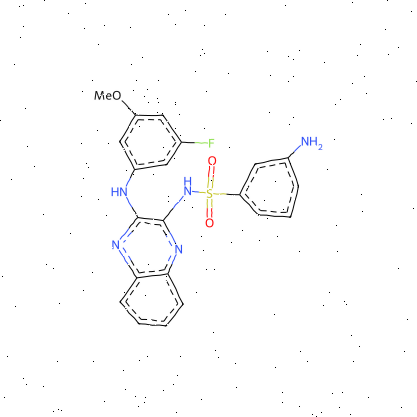 COc1cc(F)cc(Nc2nc3ccccc3nc2NS(=O)(=O)c2cccc(N)c2)c1